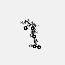 CN(C)CCCC(CSc1ccccc1)Nc1ccc(S(=O)(=O)Nc2ncnc3cc(N4CCN(Cc5cc(Cl)ccc5-c5ccccc5)CC4)ccc23)cc1[N+](=O)[O-]